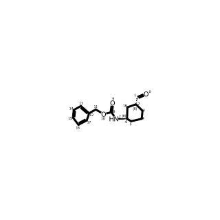 O=C[C@@H]1CCC[C@@H](NC(=O)OCc2ccccc2)C1